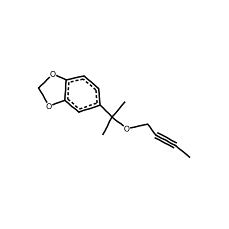 CC#CCOC(C)(C)c1ccc2c(c1)OCO2